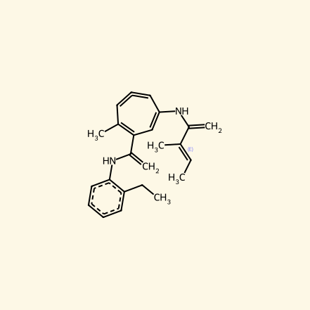 C=C(Nc1ccccc1CC)C1=C(C)C=C=CC(NC(=C)/C(C)=C/C)=C1